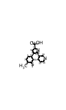 Cc1ccc(-c2cc(C(=O)O)nn2-c2cccnc2)cc1F